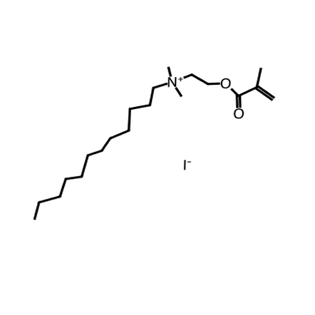 C=C(C)C(=O)OCC[N+](C)(C)CCCCCCCCCCCC.[I-]